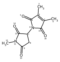 CC1=C(C)C(=O)N(C2CC(=O)N(C)C2=O)C1=O